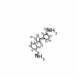 CC1=C(c2cccc(CN)c2)C(C)=C(c2cccc(CN)c2)C1